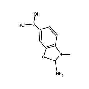 CN1c2ccc(B(O)O)cc2OC1N